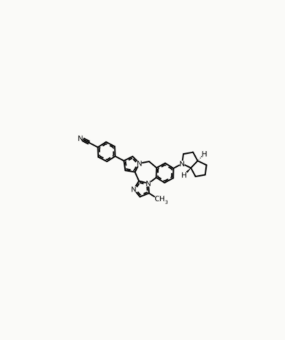 Cc1cnc2n1-c1ccc(N3CC[C@H]4CCC[C@@H]43)cc1Cn1cc(-c3ccc(C#N)cc3)cc1-2